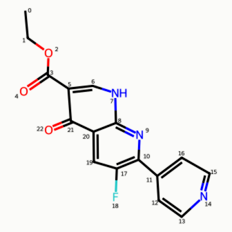 CCOC(=O)c1c[nH]c2nc(-c3ccncc3)c(F)cc2c1=O